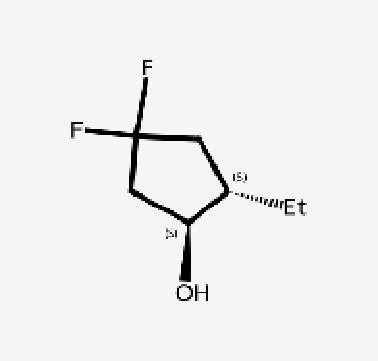 CC[C@H]1CC(F)(F)C[C@@H]1O